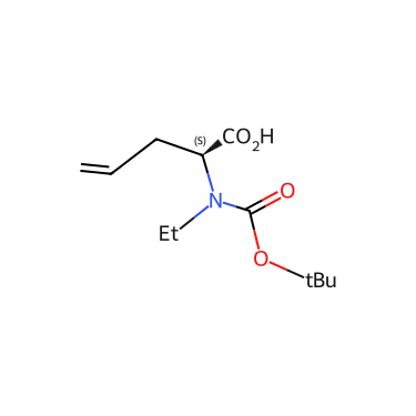 C=CC[C@@H](C(=O)O)N(CC)C(=O)OC(C)(C)C